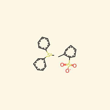 C[S+](c1ccccc1)c1ccccc1.Cc1ccccc1S(=O)(=O)[O-]